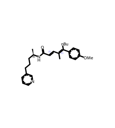 CCCC/C(=C(C)\C=C\C(=O)N[C@H](C)CCCc1cccnc1)c1ccc(OC)cc1